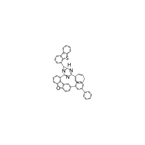 C1=CCCC=CC=1C1=N[C@@H]2C(c3cccc4c3sc3ccccc34)N2C(c2cccc3oc4ccc(-c5cccc(-c6ccccc6)c5)cc4c23)=N1